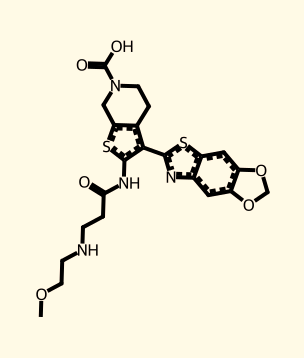 COCCNCCC(=O)Nc1sc2c(c1-c1nc3cc4c(cc3s1)OCO4)CCN(C(=O)O)C2